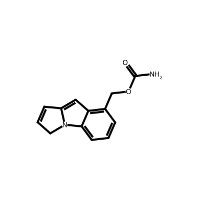 NC(=O)OCc1cccc2c1cc1n2CC=C1